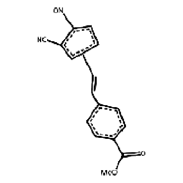 COC(=O)c1ccc(/C=C/c2ccc(N=O)c(C#N)c2)cc1